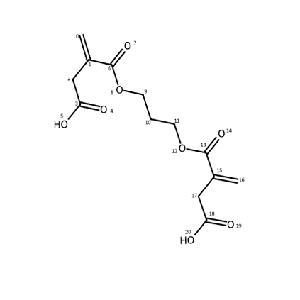 C=C(CC(=O)O)C(=O)OCCCOC(=O)C(=C)CC(=O)O